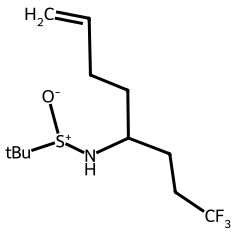 C=CCCC(CCC(F)(F)F)N[S+]([O-])C(C)(C)C